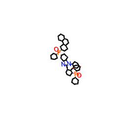 O=P(c1ccccc1)(c1ccc2c(c1)nc1c3cccc(P(=O)(c4ccccc4)c4ccccc4)c3c3ccccc3n21)c1ccc2ccc3ccccc3c2c1